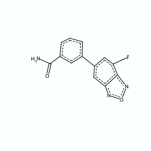 NC(=O)c1cccc(-c2cc(F)c3nonc3c2)c1